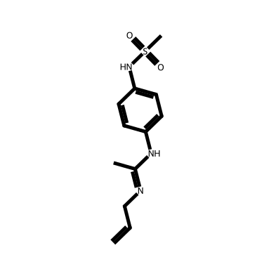 C=CC/N=C(\C)Nc1ccc(NS(C)(=O)=O)cc1